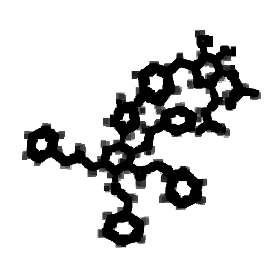 CC(=O)OC[C@H]1OC(Cc2ccc(-n3cc([C@H]4O[C@H](COCc5ccccc5)[C@@H](OCc5ccccc5)[C@H](OCc5ccccc5)[C@@H]4OCc4ccccc4)nn3)cc2)[C@@H](O)[C@@H](O)[C@@H]1OC(C)=O